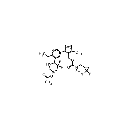 CCc1ncc(-c2nnn(C)c2COC(=O)N(C)CC2CC2(F)F)cc1C1NC[C@@H](OC(C)=O)CC1(F)F